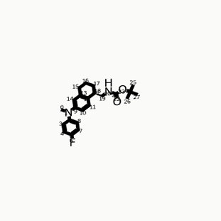 CN(c1ccc(F)cc1)c1ccc2c(c1)CCC[C@H]2CNC(=O)OC(C)(C)C